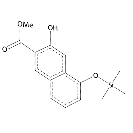 COC(=O)c1cc2cccc(O[Si](C)(C)C)c2cc1O